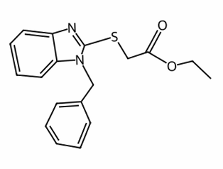 CCOC(=O)CSc1nc2ccccc2n1Cc1ccccc1